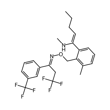 CCC/C=C(\NC)c1cccc(C)c1CO/N=C(\CC(F)(F)F)c1cccc(C(F)(F)F)c1